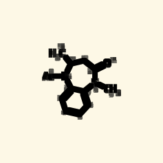 CC(=O)N1c2ccccc2N(C)C(=O)CC1C